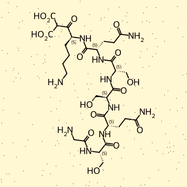 NCCCC[C@H](NC(=O)[C@H](CCC(N)=O)NC(=O)[C@H](CO)NC(=O)[C@H](CO)NC(=O)[C@H](CCC(N)=O)NC(=O)[C@H](CO)NC(=O)CN)C(=O)[C](C(=O)O)C(=O)O